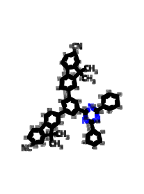 CC1(C)c2cc(C#N)ccc2-c2ccc(-c3cc(-c4ccc5c(c4)C(C)(C)c4cc(C#N)ccc4-5)cc(-c4nc(-c5ccccc5)nc(-c5ccccc5)n4)c3)cc21